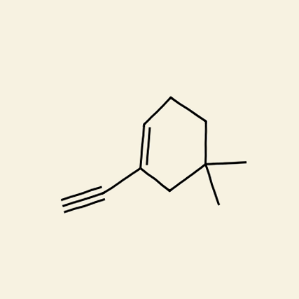 C#CC1=CCCC(C)(C)C1